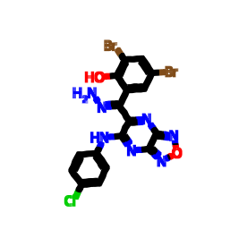 NN=C(c1cc(Br)cc(Br)c1O)c1nc2nonc2nc1Nc1ccc(Cl)cc1